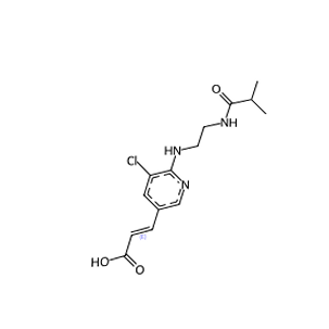 CC(C)C(=O)NCCNc1ncc(/C=C/C(=O)O)cc1Cl